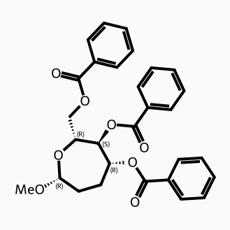 CO[C@H]1CC[C@@H](OC(=O)c2ccccc2)[C@H](OC(=O)c2ccccc2)[C@@H](COC(=O)c2ccccc2)O1